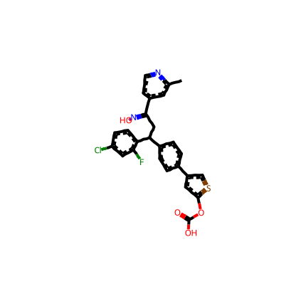 Cc1cc(/C(CC(c2ccc(-c3csc(OC(=O)O)c3)cc2)c2ccc(Cl)cc2F)=N/O)ccn1